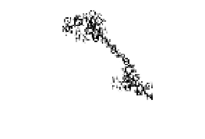 Cc1ncsc1-c1ccc(CNC(=O)[C@@H]2CCCN2C(=O)C(NC(=O)COCCCOCCCCOc2ccc(N3C(=S)N(c4cnc(C#N)c(Cl)c4)C(=O)C3(C)C)cc2)C(C)(C)C)cc1